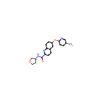 O=C(N[C@H]1CCOC1)c1ccc2cc(Oc3ccc(C(F)(F)F)cn3)ccc2n1